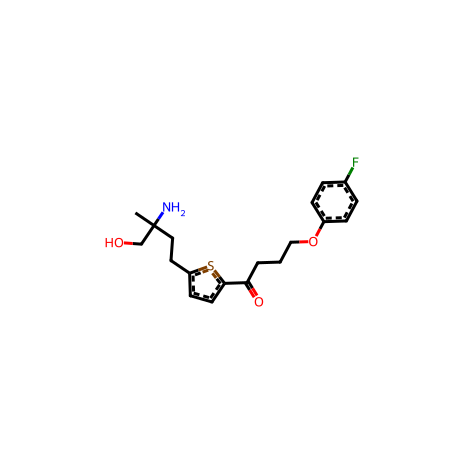 CC(N)(CO)CCc1ccc(C(=O)CCCOc2ccc(F)cc2)s1